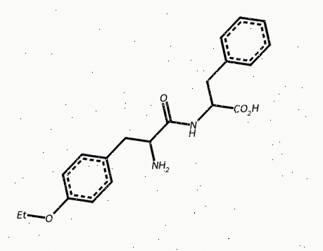 CCOc1ccc(CC(N)C(=O)NC(Cc2ccccc2)C(=O)O)cc1